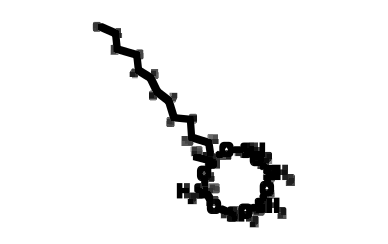 CCCCCCCCCCCC[Si]1(C)O[SiH2]O[SiH2]O[SiH2]O[SiH2]O[SiH2]O1